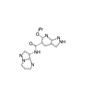 CC(C)Oc1nc2n[nH]cc2cc1C(=O)Nc1cnn2cccnc12